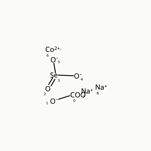 O=C([O-])[O-].O=[Se]([O-])[O-].[Co+2].[Na+].[Na+]